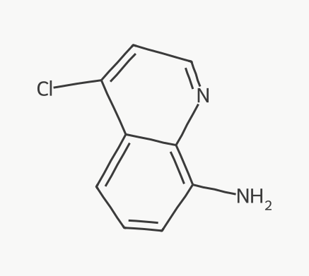 Nc1cccc2c(Cl)ccnc12